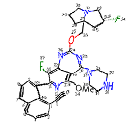 C#Cc1cccc2cccc(-c3nc(OC)c4c(N5CCNCC5)nc(OCC56CCCN5C[C@H](F)C6)nc4c3F)c12